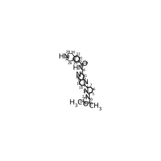 C[C@@H]1CN(c2cccc(-c3ccc4cnc(CNC(=O)c5ccc6c(c5)CCNCC6)cc4n3)n2)C[C@H](C)O1